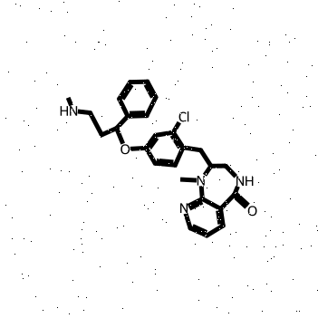 CNCCC(Oc1ccc(CC2CNC(=O)c3cccnc3N2C)c(Cl)c1)c1ccccc1